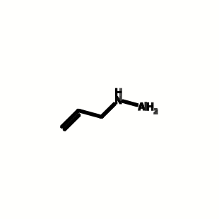 C=CC[NH][AlH2]